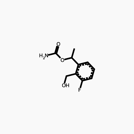 CC(OC(N)=O)c1cccc(F)c1CO